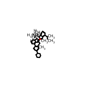 CCCC(C)C1=Cc2c(C(C)CC)cccc2[CH]1[Zr]([Cl])([Cl])([CH]1C(CC)=Cc2c(-c3ccc(C4CCCCC4)cc3)cccc21)[SiH](C)C